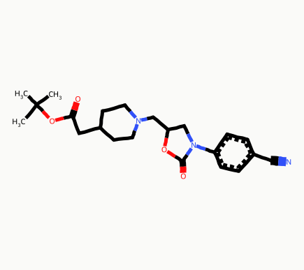 CC(C)(C)OC(=O)CC1CCN(CC2CN(c3ccc(C#N)cc3)C(=O)O2)CC1